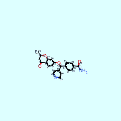 CC[C@H]1CC(=O)c2ccc(O[C@H](c3ccncc3)c3ccc(C(N)=O)cc3)cc2O1